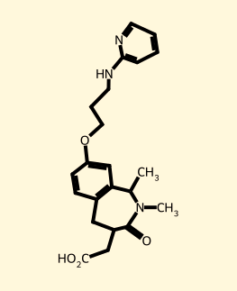 CC1c2cc(OCCCNc3ccccn3)ccc2CC(CC(=O)O)C(=O)N1C